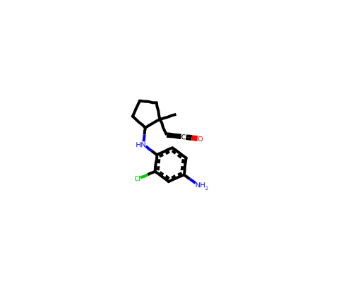 CC1(C=C=O)CCCC1Nc1ccc(N)cc1Cl